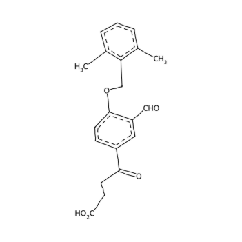 Cc1cccc(C)c1COc1ccc(C(=O)CCC(=O)O)cc1C=O